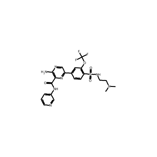 CN(C)CCNS(=O)(=O)c1ccc(-c2cnc(N)c(C(=O)Nc3cccnc3)n2)cc1OC(F)(F)F